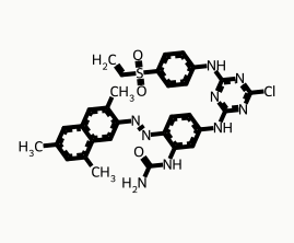 C=CS(=O)(=O)c1ccc(Nc2nc(Cl)nc(Nc3ccc(N=Nc4cc5c(C)cc(C)cc5cc4C)c(NC(N)=O)c3)n2)cc1